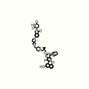 CCc1cccc2cc(O)cc(-c3ncc4c(N5CC6CCC(C5)N6)nc(OCC5(CN6CCC(CN7CC8(CCN(c9ccc%10c(c9)CN(C9CCC(=O)NC9=O)C%10=O)C8)C7)CC6)CC5)nc4c3F)c12